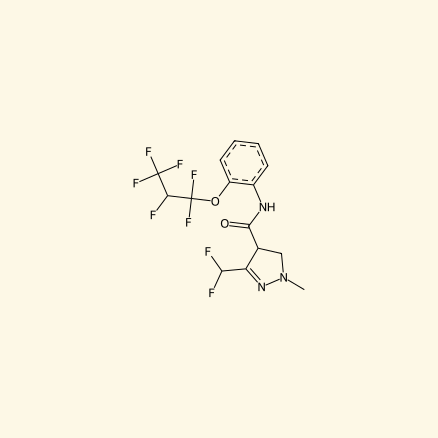 CN1CC(C(=O)Nc2ccccc2OC(F)(F)C(F)C(F)(F)F)C(C(F)F)=N1